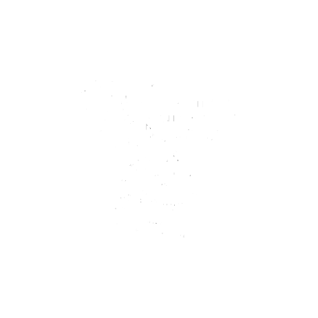 CC1(C)c2ccccc2-c2ccc(N(c3ccc4c5ccc6c7ccccc7oc6c5n(-c5ccccc5)c4c3)c3cccc4c3-c3ccccc3C43c4ccccc4-c4ccccc43)cc21